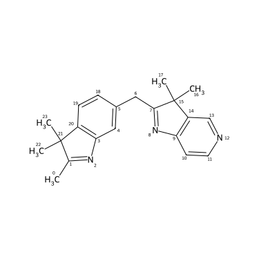 CC1=Nc2cc(CC3=Nc4ccncc4C3(C)C)ccc2C1(C)C